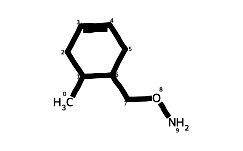 CC1CC=CCC1CON